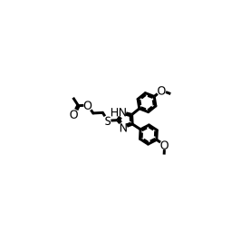 COc1ccc(-c2nc(SCCOC(C)=O)[nH]c2-c2ccc(OC)cc2)cc1